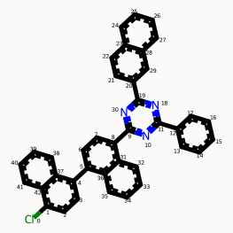 Clc1ccc(-c2ccc(-c3nc(-c4ccccc4)nc(-c4ccc5ccccc5c4)n3)c3ccccc23)c2ccccc12